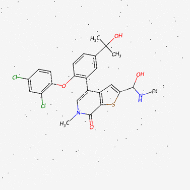 CCNC(O)c1cc2c(-c3cc(C(C)(C)O)ccc3Oc3ccc(Cl)cc3Cl)cn(C)c(=O)c2s1